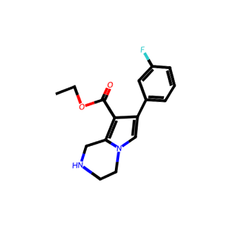 CCOC(=O)c1c(-c2cccc(F)c2)cn2c1CNCC2